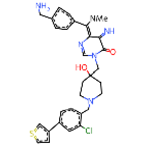 CN/C(=C1/N=CN(CC2(O)CCN(Cc3ccc(-c4ccsc4)cc3Cl)CC2)C(=O)C1=N)c1ccc(CN)cc1